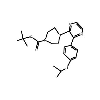 CC(C)Oc1ccc(-c2nccnc2N2CCN(C(=O)OC(C)(C)C)CC2)cc1